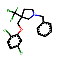 FC(F)(F)C1(COc2cc(Cl)ccc2Cl)CCN(Cc2ccccc2)C1